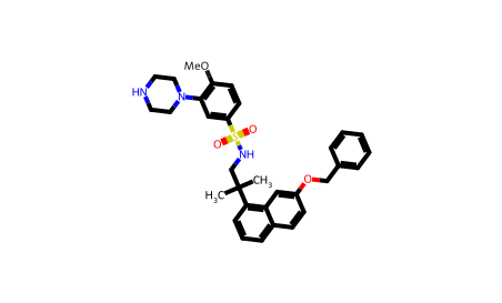 COc1ccc(S(=O)(=O)NCC(C)(C)c2cccc3ccc(OCc4ccccc4)cc23)cc1N1CCNCC1